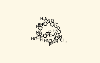 CN1C(=O)Cc2cc(Nc3nc(N4CCC(Nc5ccc6c(C7CCC(=O)NC7=O)nn(C)c6c5)C(F)(F)C4)ncc3Cl)ccc21.Cl.Cn1nc(C2CCC(=O)NC2=O)c2ccc(NC3CCNCC3(F)F)cc21